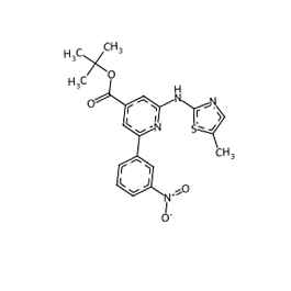 Cc1cnc(Nc2cc(C(=O)OC(C)(C)C)cc(-c3cccc([N+](=O)[O-])c3)n2)s1